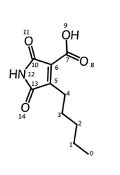 CCCCCC1=C(C(=O)O)C(=O)NC1=O